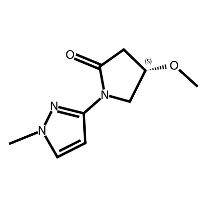 CO[C@H]1CC(=O)N(c2ccn(C)n2)C1